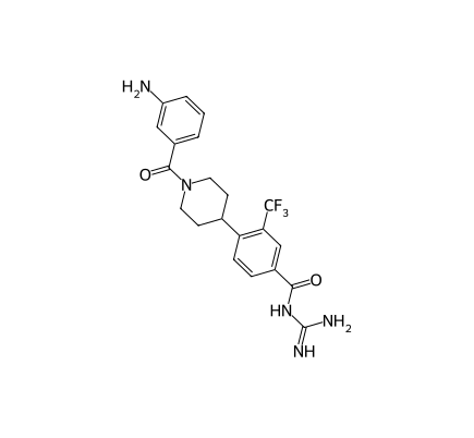 N=C(N)NC(=O)c1ccc(C2CCN(C(=O)c3cccc(N)c3)CC2)c(C(F)(F)F)c1